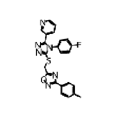 Cc1ccc(-c2noc(CSc3nnc(-c4cccnc4)n3-c3ccc(F)cc3)n2)cc1